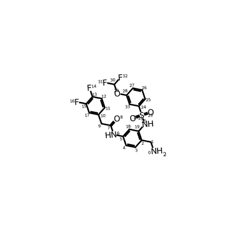 NCc1ccc(NC(=O)Cc2ccc(F)c(F)c2)cc1NS(=O)(=O)c1cccc(OC(F)F)c1